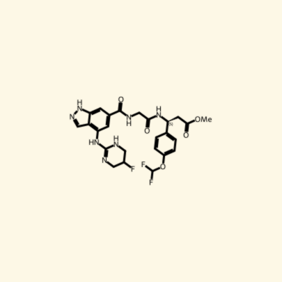 COC(=O)C[C@H](NC(=O)CNC(=O)c1cc(NC2=NCC(F)CN2)c2cn[nH]c2c1)c1ccc(OC(F)F)cc1